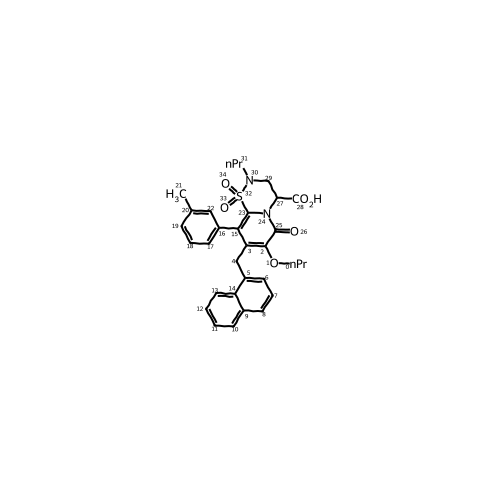 CCCOc1c(Cc2cccc3ccccc23)c(-c2cccc(C)c2)c2n(c1=O)C(C(=O)O)CN(CCC)S2(=O)=O